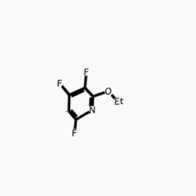 CCOc1nc(F)[c]c(F)c1F